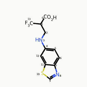 O=C(O)C(CNc1ccc2ncsc2c1)C(F)(F)F